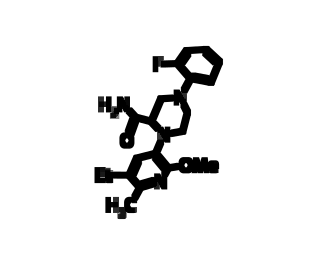 CCc1cc(N2CCN(c3ccccc3F)CC2C(N)=O)c(OC)nc1C